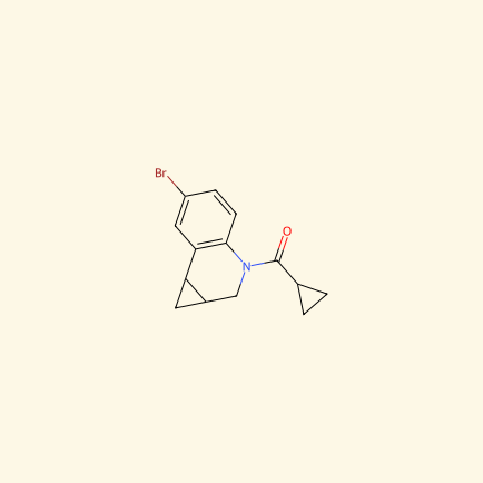 O=C(C1CC1)N1CC2CC2c2cc(Br)ccc21